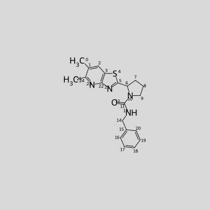 Cc1cc2sc(C3CCCN3C(=O)NCc3ccccc3)nc2nc1C